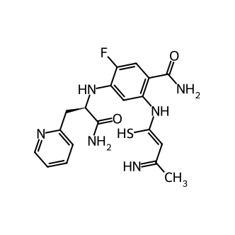 CC(=N)/C=C(\S)Nc1cc(N[C@H](Cc2ccccn2)C(N)=O)c(F)cc1C(N)=O